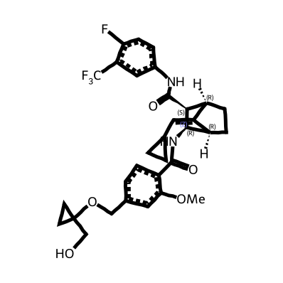 COc1cc(COC2(CO)CC2)ccc1C(=O)N[C@H]1[C@@H](C(=O)Nc2ccc(F)c(C(F)(F)F)c2)[C@H]2CC[C@@H]1/C2=C\C1CC1